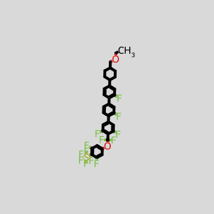 CCOCC1CCC(c2ccc(-c3ccc(-c4cc(F)c(C(F)(F)Oc5cc(F)c(S(F)(F)(F)(F)F)c(F)c5)c(F)c4)c(F)c3)c(F)c2)CC1